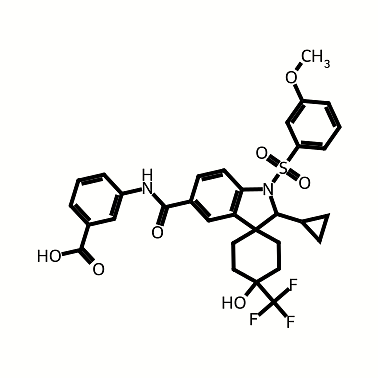 COc1cccc(S(=O)(=O)N2c3ccc(C(=O)Nc4cccc(C(=O)O)c4)cc3C3(CCC(O)(C(F)(F)F)CC3)C2C2CC2)c1